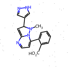 CN1C(c2cn[nH]c2)C=C2N=CC=C(c3ccccc3C(=O)O)N21